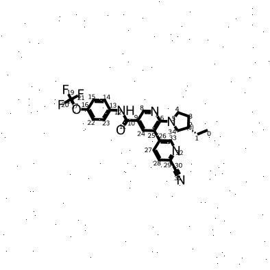 CC[C@H]1CCN(c2ncc(C(=O)Nc3ccc(OC(F)(F)F)cc3)cc2-c2ccc(C#N)nc2)C1